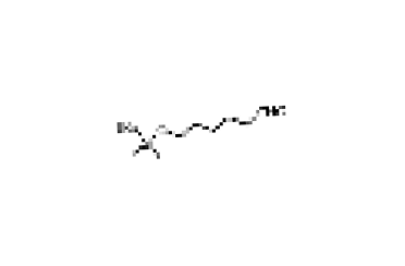 CC(C)(C)[Si](C)(C)OCCCCCC=O